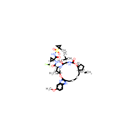 C=C[C@H]1CC[C@H]2OC(=O)N[C@@H](C(C)(C)C)C(=O)N3C[C@H](Oc4nc5cc(OC)ccc5nc4CCCCC[C@H]12)[C@@H](C)[C@H]3C(=O)N[C@]1(C(=O)NS(=O)(=O)C2(C)CC2)C[C@H]1C(F)F